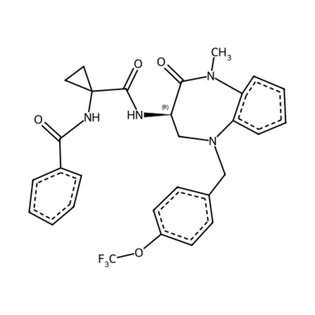 CN1C(=O)[C@H](NC(=O)C2(NC(=O)c3ccccc3)CC2)CN(Cc2ccc(OC(F)(F)F)cc2)c2ccccc21